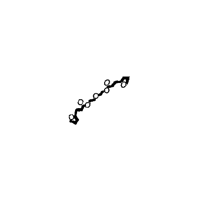 O=C(C=Cc1ccco1)OCCOCCOC(=O)C=Cc1ccco1